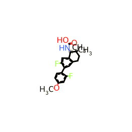 COc1ccc(-c2cc3c(cc2F)[C@H](NC(=O)O)C(C)(C)CC3)c(F)c1